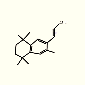 Cc1cc2c(cc1/C=C/[C]=O)C(C)(C)CCC2(C)C